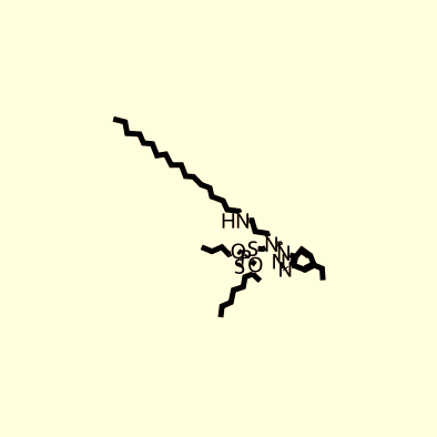 CCCCCCCCCCCCCCCCCCNCCCN(CSP(=S)(OCCCC)OC(C)CCCCCC)Cn1nnc2cc(CC)ccc21